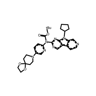 CC(C)(C)OC(=O)N(c1ccc(N2CCC3(CC2)OCCO3)cn1)c1ncc2c3ccncc3n(C3CCCC3)c2n1